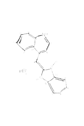 Br.CN1C(=Cc2ccnc3ccccc23)Oc2ccccc21